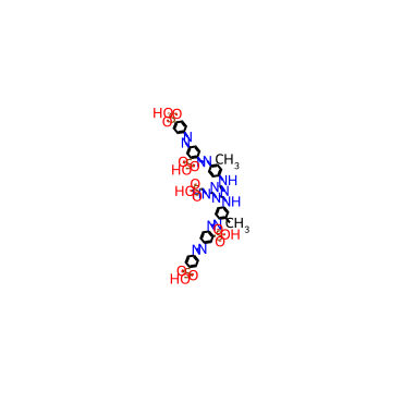 Cc1cc(Nc2nc(NCS(=O)(=O)O)nc(Nc3ccc(N=Nc4ccc(N=Nc5ccc(S(=O)(=O)O)cc5)cc4S(=O)(=O)O)c(C)c3)n2)ccc1N=Nc1ccc(N=Nc2ccc(S(=O)(=O)O)cc2)cc1S(=O)(=O)O